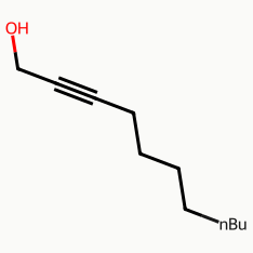 CCCCCCCCC#CCO